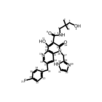 CC(C)(CO)CNC(=O)c1c(O)c2ncc(Cc3ccc(F)cc3)cc2n(Cc2ncc[nH]2)c1=O